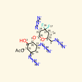 CC(=O)O[C@@H]1[C@@H](O)[C@H](O[C@H]2O[C@H](CN=[N+]=[N-])[C@@H](C)C(F)(F)[C@H]2N=[N+]=[N-])[C@@H](N=[N+]=[N-])C[C@H]1N=[N+]=[N-]